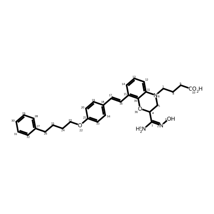 N/C(=N/O)C1CN(CCCC(=O)O)c2cccc(/C=C/c3ccc(OCCCCc4ccccc4)cc3)c2O1